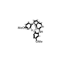 COc1ccc(C)c(Nc2ncc3ccn(-c4ccc(OC)nc4)c3n2)c1